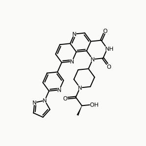 C[C@H](O)C(=O)N1CCC(n2c(=O)[nH]c(=O)c3cnc4ccc(-c5ccc(-n6cccn6)nc5)nc4c32)CC1